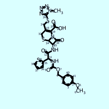 COc1ccc(COC(=O)NC(C(=O)N[C@H]2C(=O)N3C(C(=O)O)=C(CSc4nnnn4C)CSC23)c2cccs2)cc1